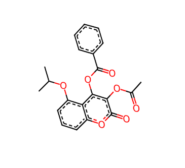 CC(=O)Oc1c(OC(=O)c2ccccc2)c2c(OC(C)C)cccc2oc1=O